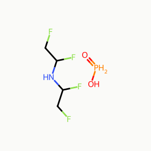 FCC(F)NC(F)CF.O=[PH2]O